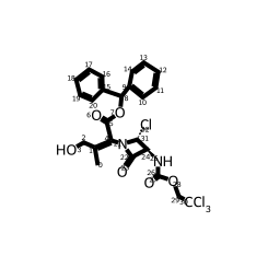 CC(CO)=C(C(=O)OC(c1ccccc1)c1ccccc1)N1C(=O)[C@H](NC(=O)OCC(Cl)(Cl)Cl)[C@H]1Cl